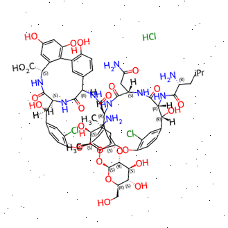 CC(C)C[C@@H](N)C(=O)N[C@H]1C(=O)N[C@@H](CC(N)=O)C(=O)N[C@H]2C(=O)N[C@H]3C(=O)N[C@H](C(=O)N[C@H](C(=O)O)c4cc(O)cc(O)c4-c4cc3ccc4O)[C@H](O)c3ccc(c(Cl)c3)Oc3cc2cc(c3O[C@@H]2O[C@H](CO)[C@@H](O)[C@H](O)[C@H]2O[C@H]2C[C@](C)(N)[C@H](O)[C@H](C)O2)Oc2ccc(cc2Cl)[C@H]1O.Cl